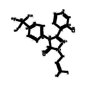 CC(C)=CCn1nc(-c2ccncc2Cl)n(-c2ccc(C(F)(F)F)cc2)c1=O